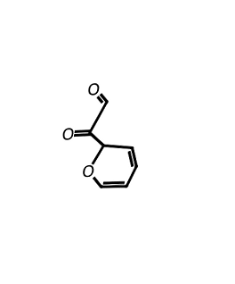 O=CC(=O)C1C=CC=CO1